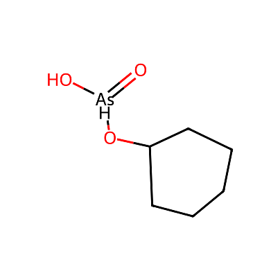 O=[AsH](O)OC1CCCCC1